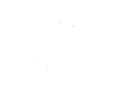 CCCN(C)C(=O)c1ccc(-c2noc(C(F)(F)F)n2)cc1